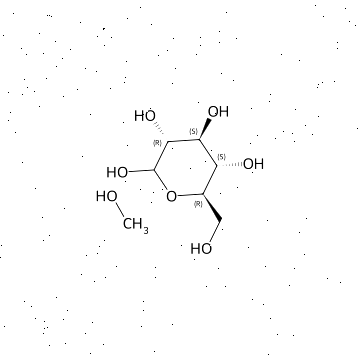 CO.OC[C@H]1OC(O)[C@H](O)[C@@H](O)[C@@H]1O